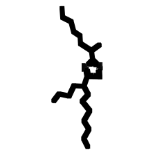 CCCCCCCC(CCCC)c1csc(C(C)CCCCCC)n1